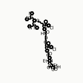 CCc1c2c(nc3ccc(OC(=O)c4ccc(CN(CCOCCOCCNC(=O)c5ccc(CN(CCCCOc6cc(CN(Cc7ccccn7)Cc7ccccn7)cc(CN(Cc7ccccn7)Cc7ccccn7)c6)C(=O)C6(c7ccc(Cl)cc7)CCCCC6)cc5)C(=O)C5(c6ccc(Cl)cc6)CCCCC5)cc4)cc13)-c1cc3c(c(=O)n1C2)COC(=O)[C@]3(O)CC